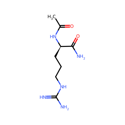 CC(=O)N[C@H](CCCNC(=N)N)C(N)=O